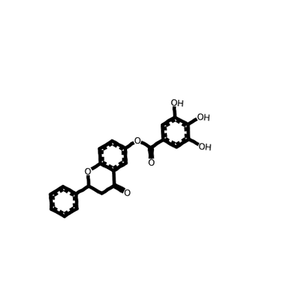 O=C(Oc1ccc2c(c1)C(=O)CC(c1ccccc1)O2)c1cc(O)c(O)c(O)c1